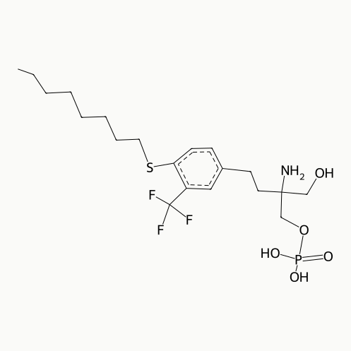 CCCCCCCCSc1ccc(CCC(N)(CO)COP(=O)(O)O)cc1C(F)(F)F